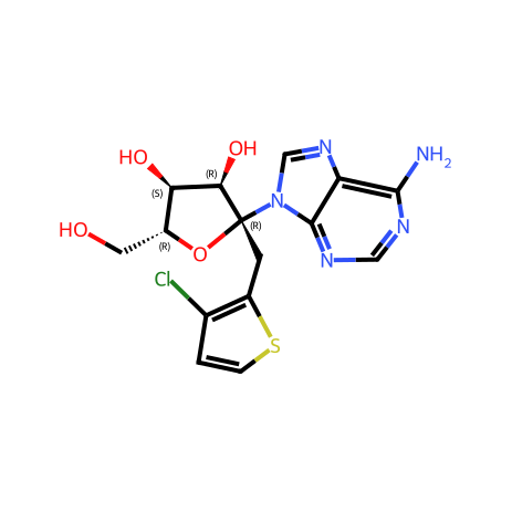 Nc1ncnc2c1ncn2[C@]1(Cc2sccc2Cl)O[C@H](CO)[C@@H](O)[C@H]1O